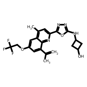 C=C(C)c1cc(OCC(F)(F)F)cc2c(C)cc(-c3nnc(NC4CC(O)C4)o3)nc12